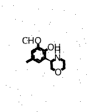 Cc1cc(C=O)c(O)c([C@@H]2COCCN2)c1